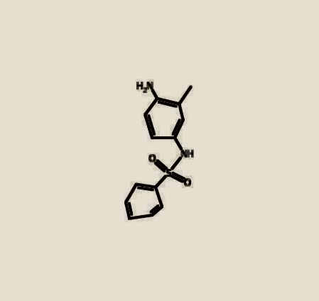 Cc1cc(NS(=O)(=O)c2ccccc2)ccc1N